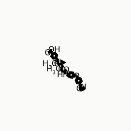 CN(CC(=O)Nc1ccc(Oc2ccc(-c3ncco3)cc2)cc1)CC1(CN(C)Cc2ccc(C(=O)O)cc2)CC1